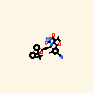 Cc1cc(C#N)cc(C(=O)c2c(C(C)C)c(=O)[nH]c(=O)n2CC#CCO[Si](c2ccccc2)(c2ccccc2)C(C)(C)C)c1